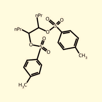 CCCC(OS(=O)(=O)c1ccc(C)cc1)C(CCC)OS(=O)(=O)c1ccc(C)cc1